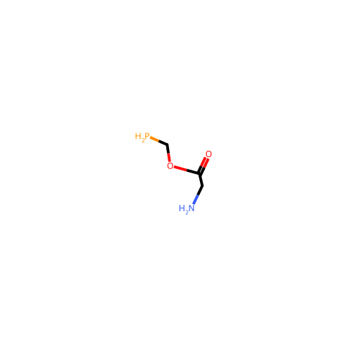 NCC(=O)OCP